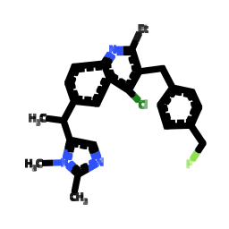 CCc1nc2ccc(C(C)c3cnc(C)n3C)cc2c(Cl)c1Cc1ccc(CF)cc1